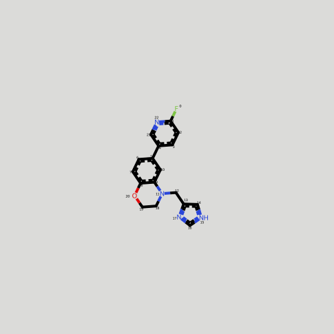 Fc1ccc(-c2ccc3c(c2)N(Cc2c[nH]cn2)CCO3)cn1